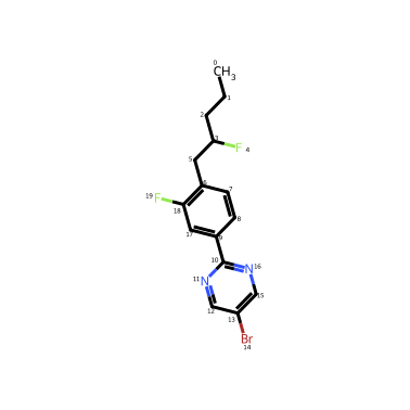 CCCC(F)Cc1ccc(-c2ncc(Br)cn2)cc1F